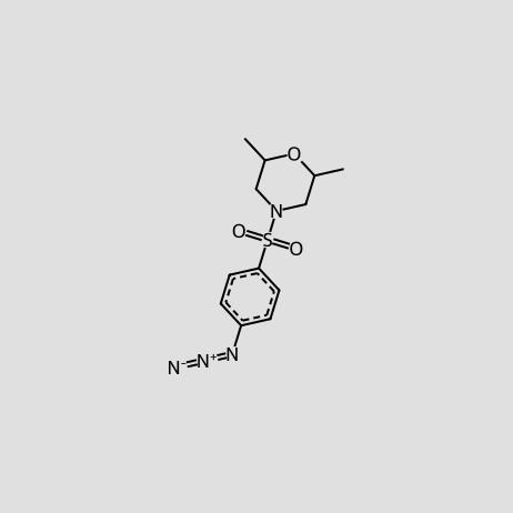 CC1CN(S(=O)(=O)c2ccc(N=[N+]=[N-])cc2)CC(C)O1